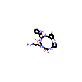 C[C@@H]1NCc2cccnc2Sc2c(Cl)cc(Cl)cc2CNC(=O)[C@H](Cc2c[nH]c3ccccc23)N(C)C(=O)[C@H](CCCCN)NC1=O